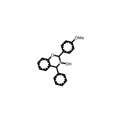 COc1ccc(C2Oc3ccccc3C(c3ccccc3)N2O)cc1